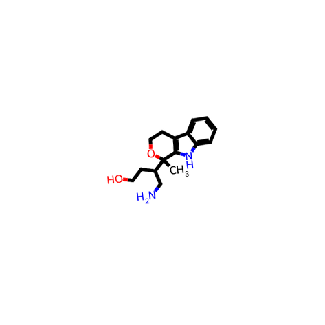 CC1(C(CN)CCO)OCCc2c1[nH]c1ccccc21